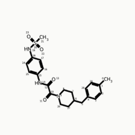 Cc1ccc(CC2CCN(C(=O)C(=O)Nc3ccc(NS(C)(=O)=O)cc3)CC2)cc1